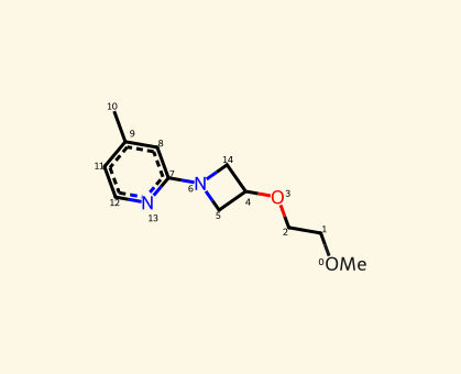 COCCOC1CN(c2cc(C)ccn2)C1